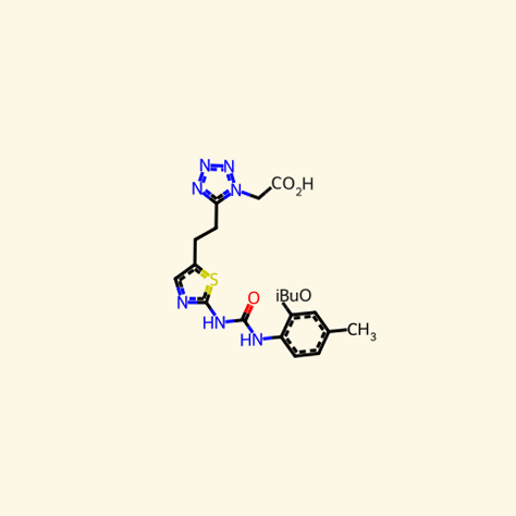 Cc1ccc(NC(=O)Nc2ncc(CCc3nnnn3CC(=O)O)s2)c(OCC(C)C)c1